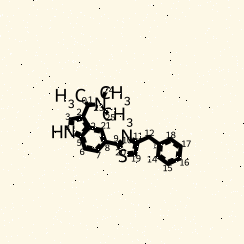 CC(c1c[nH]c2ccc(-c3nc(Cc4ccccc4)cs3)cc12)N(C)C